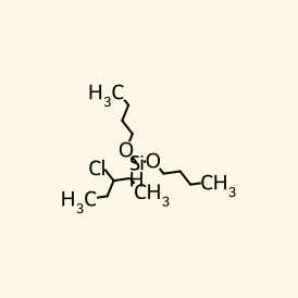 CCCCO[SiH](OCCCC)C(C)C(Cl)CC